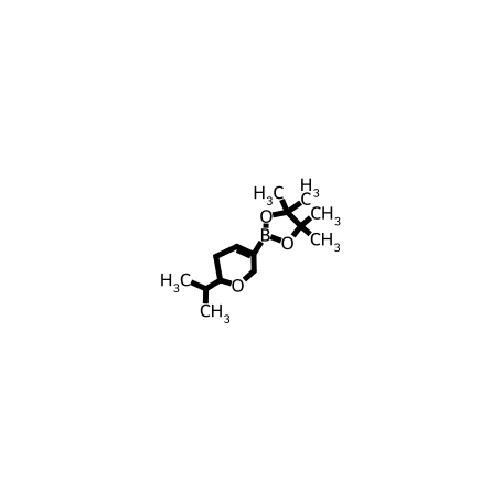 CC(C)C1CC=C(B2OC(C)(C)C(C)(C)O2)CO1